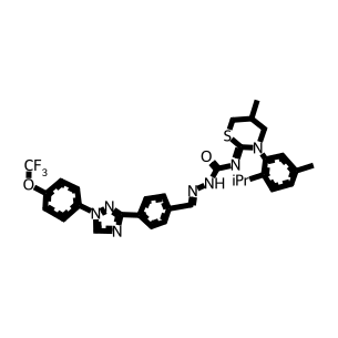 Cc1ccc(C(C)C)c(N2CC(C)CS/C2=N\C(=O)N/N=C/c2ccc(-c3ncn(-c4ccc(OC(F)(F)F)cc4)n3)cc2)c1